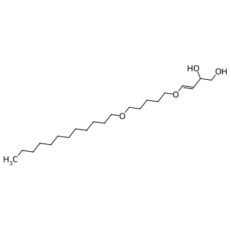 CCCCCCCCCCCCOCCCCCOC=CC(O)CO